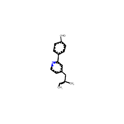 CC=C(C)Cc1ccnc(-c2ccc(C=O)cc2)c1